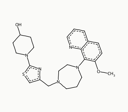 COc1ccc2cccnc2c1N1CCCN(Cc2csc(N3CCC(O)CC3)n2)CC1